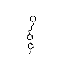 COc1ccc(-c2ccc(OCCCN3CCCCC3)cc2)cc1